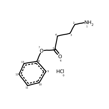 Cl.NCCCC(=O)Oc1ccccc1